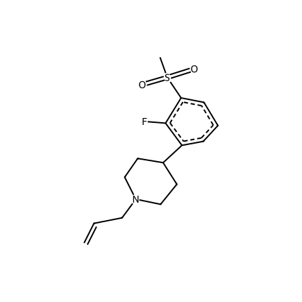 C=CCN1CCC(c2cccc(S(C)(=O)=O)c2F)CC1